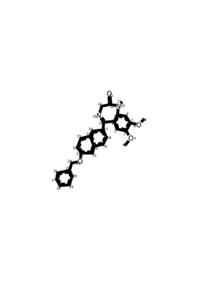 COc1cc2c(cc1OC)N(C)C(=O)CN=C2c1ccc2cc(OCc3ccccc3)ccc2c1